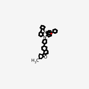 CC1CCc2c(oc3ccc4cc(-c5ccc(N(c6ccc(-c7ccccc7)cc6)c6cccc7c8ccccc8n(-c8ccccc8)c67)cc5)ccc4c23)C1